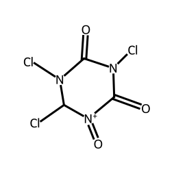 O=C1N(Cl)C(=O)[N+](=O)C(Cl)N1Cl